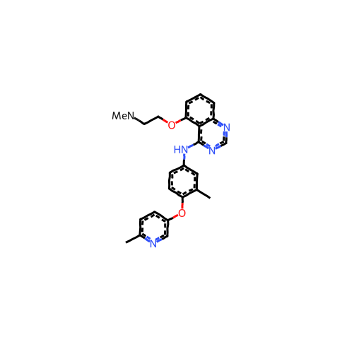 CNCCOc1cccc2ncnc(Nc3ccc(Oc4ccc(C)nc4)c(C)c3)c12